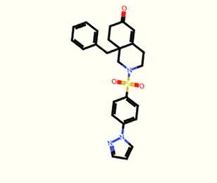 O=C1C=C2CCN(S(=O)(=O)c3ccc(-n4cccn4)cc3)CC2(Cc2ccccc2)CC1